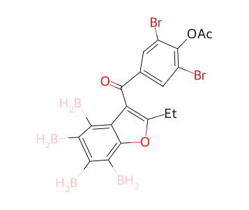 Bc1c(B)c(B)c2c(C(=O)c3cc(Br)c(OC(C)=O)c(Br)c3)c(CC)oc2c1B